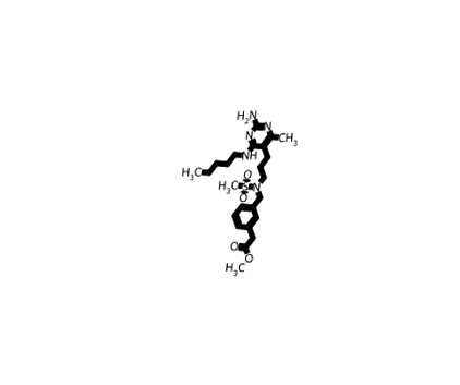 CCCCCNc1nc(N)nc(C)c1CCCN(Cc1cccc(CC(=O)OC)c1)S(C)(=O)=O